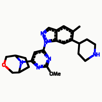 COc1nc(N2C3CCC2COC3)cc(-n2ncc3cc(C)c(C4CCNCC4)cc32)n1